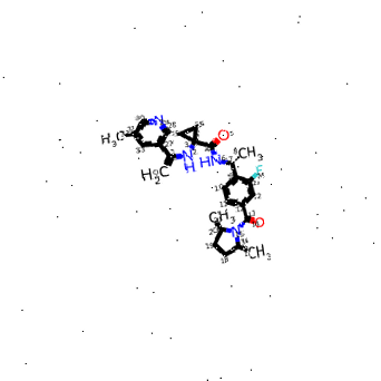 C=C(NC1(C(=O)N[C@H](C)c2ccc(C(=O)N3C(C)CCC3C)cc2F)CC1)c1cncc(C)c1